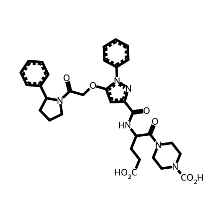 O=C(O)CCC(NC(=O)c1cc(OCC(=O)N2CCCC2c2ccccc2)n(-c2ccccc2)n1)C(=O)N1CCN(C(=O)O)CC1